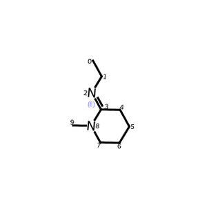 CC/N=C1\CCCCN1C